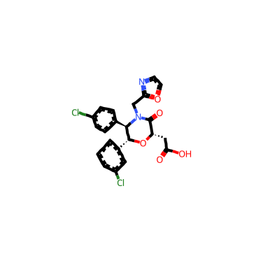 O=C(O)C[C@@H]1O[C@H](c2cccc(Cl)c2)[C@@H](c2ccc(Cl)cc2)N(Cc2ncco2)C1=O